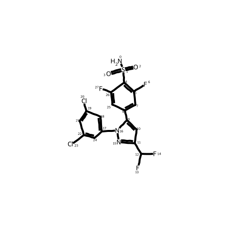 NS(=O)(=O)c1c(F)cc(-c2cc(C(F)F)nn2-c2cc(Cl)cc(Cl)c2)cc1F